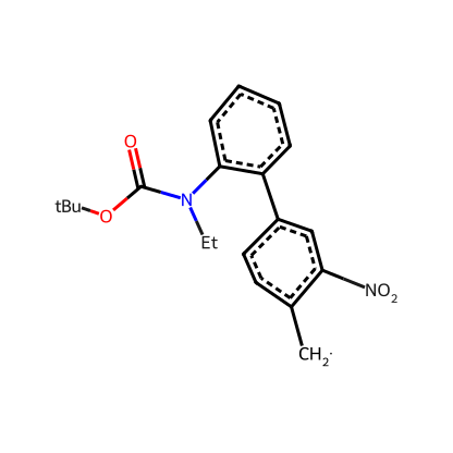 [CH2]c1ccc(-c2ccccc2N(CC)C(=O)OC(C)(C)C)cc1[N+](=O)[O-]